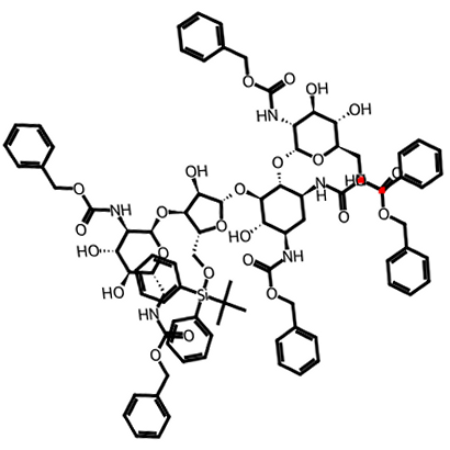 CC(C)(C)[Si](OC[C@H]1O[C@@H](O[C@@H]2[C@@H](O)[C@H](NC(=O)OCc3ccccc3)C[C@H](NC(=O)OCc3ccccc3)[C@H]2O[C@H]2O[C@H](CNC(=O)OCc3ccccc3)[C@@H](O)[C@H](O)[C@H]2NC(=O)OCc2ccccc2)[C@H](O)[C@@H]1O[C@H]1O[C@H](CNC(=O)OCc2ccccc2)[C@@H](O)[C@H](O)[C@H]1NC(=O)OCc1ccccc1)(c1ccccc1)c1ccccc1